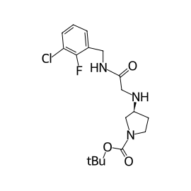 CC(C)(C)OC(=O)N1CC[C@H](NCC(=O)NCc2cccc(Cl)c2F)C1